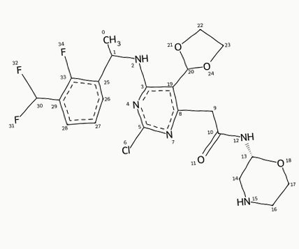 CC(Nc1nc(Cl)nc(CC(=O)N[C@H]2CNCCO2)c1C1OCCO1)c1cccc(C(F)F)c1F